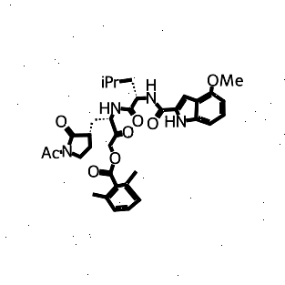 COc1cccc2[nH]c(C(=O)N[C@@H](CC(C)C)C(=O)N[C@@H](C[C@@H]3CCN(C(C)=O)C3=O)C(=O)COC(=O)c3c(C)cccc3C)cc12